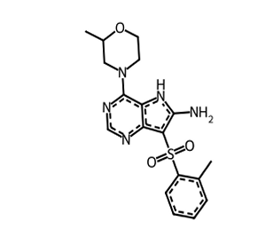 Cc1ccccc1S(=O)(=O)c1c(N)[nH]c2c(N3CCOC(C)C3)ncnc12